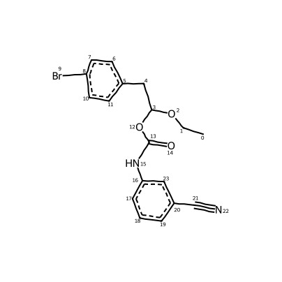 CCOC(Cc1ccc(Br)cc1)OC(=O)Nc1cccc(C#N)c1